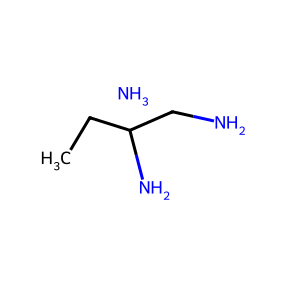 CCC(N)CN.N